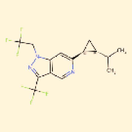 CC(C)[C@H]1C[C@@H]1c1cc2c(cn1)c(C(F)(F)F)nn2CC(F)(F)F